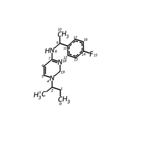 CCC(C)N1C=CC(NC(C)c2ccc(F)cc2)=NC1